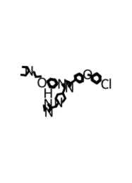 CCN(CC)CCCOc1ccc(-n2cc(-c3ccc(Oc4ccc(Cl)cc4)cc3)nc2C2CCN(Cc3ncc[nH]3)CC2)cc1